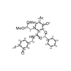 COC(Cn1cc(C(C)=O)c(=O)c(OCc2ccccc2)c1C(=O)NCc1ccc(F)c(Cl)c1)OC